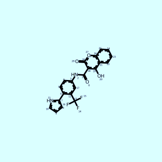 O=C(Nc1ccc(-c2ccc[nH]2)c(C(F)(F)F)c1)c1c(O)c2ccccc2oc1=O